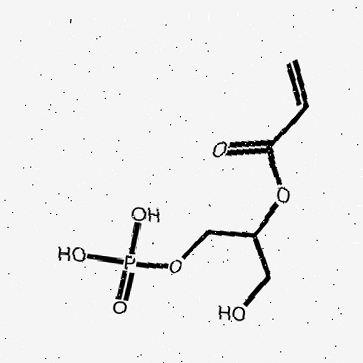 C=CC(=O)OC(CO)COP(=O)(O)O